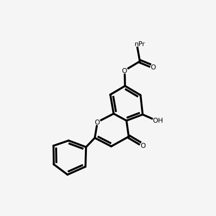 CCCC(=O)Oc1cc(O)c2c(=O)cc(-c3ccccc3)oc2c1